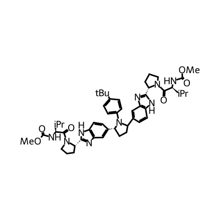 COC(=O)N[C@H](C(=O)N1CCC[C@H]1c1nc2cc(C3CC[C@H](c4ccc5[nH]c([C@@H]6CCCN6C(=O)[C@@H](NC(=O)OC)C(C)C)nc5c4)N3c3ccc(C(C)(C)C)cc3)ccc2[nH]1)C(C)C